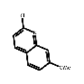 COc1ccc2ccc(Cl)nc2c1